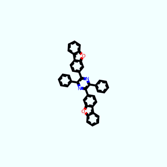 c1ccc(-c2nc(-c3ccc4c(c3)oc3ccccc34)c(-c3ccccc3)nc2-c2ccc3c(c2)oc2ccccc23)cc1